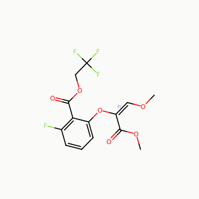 CO/C=C(/Oc1cccc(F)c1C(=O)OCC(F)(F)F)C(=O)OC